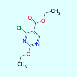 CCOC(=O)c1cnc(OCC)nc1Cl